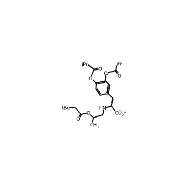 CC(CN[C@@H](Cc1ccc(OC(=O)C(C)C)c(OC(=O)C(C)C)c1)C(=O)O)OC(=O)CC(C)(C)C